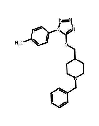 Cc1ccc(-n2nnnc2OCC2CCN(Cc3ccccc3)CC2)cc1